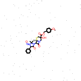 COc1ccc(COC(=O)C2(O)CS[C@@H]3C(N4C(=O)C(c5ccccc5)N(N=O)C4(C)C)C(=O)N3C2)cc1